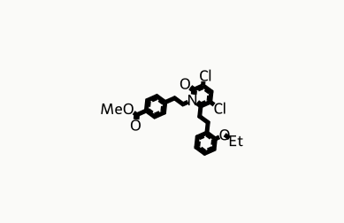 CCOc1ccccc1CCc1c(Cl)cc(Cl)c(=O)n1CCc1ccc(C(=O)OC)cc1